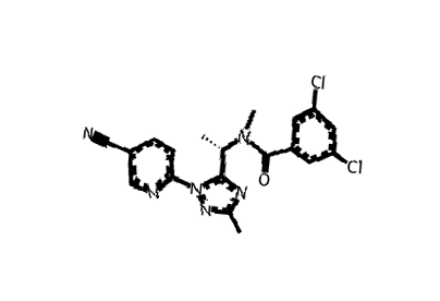 Cc1nc([C@H](C)N(C)C(=O)c2cc(Cl)cc(Cl)c2)n(-c2ccc(C#N)cn2)n1